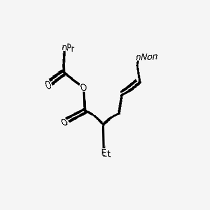 CCCCCCCCCC=CCC(CC)C(=O)OC(=O)CCC